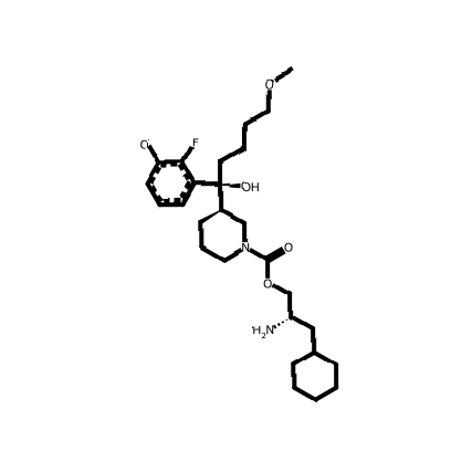 COCCCC[C@@](O)(c1cccc(Cl)c1F)[C@@H]1CCCN(C(=O)OC[C@@H](N)CC2CCCCC2)C1